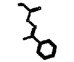 CCCCC(=O)O/N=C(\C)c1ccccc1